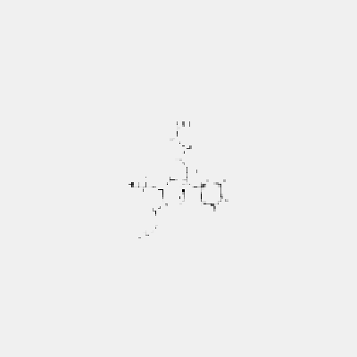 O=C(O)C(CCCO)CP(=O)(OCCCO)c1ccccc1